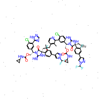 Cc1c(CC(C)(C)C[C@]2(c3ccc(-c4cnn(C(F)F)c4)cc3F)NC(=N)N([C@H](COC(=O)NC3CC3)c3ccc(Cl)c(-c4ncn[nH]4)c3)C2=O)ccnc1-c1cc([C@@H](COC(=O)NC2CC2)N2C(=N)N[C@](CC(C)(C)C)(c3ccc(-c4cnn(C(F)F)c4)cc3F)C2=O)ccc1Cl